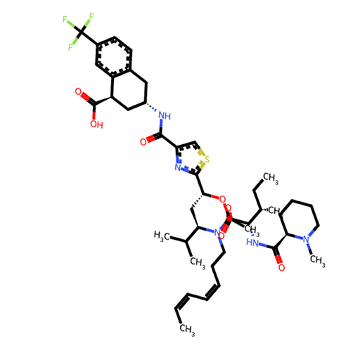 C/C=C\C=C/CCN(C(=O)[C@@H](NC(=O)[C@H]1CCCCN1C)[C@@H](C)CC)[C@H](C[C@@H](OC(C)=O)c1nc(C(=O)N[C@H]2Cc3ccc(C(F)(F)F)cc3[C@H](C(=O)O)C2)cs1)C(C)C